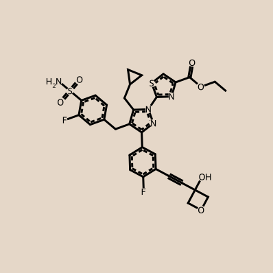 CCOC(=O)c1csc(-n2nc(-c3ccc(F)c(C#CC4(O)COC4)c3)c(Cc3ccc(S(N)(=O)=O)c(F)c3)c2CC2CC2)n1